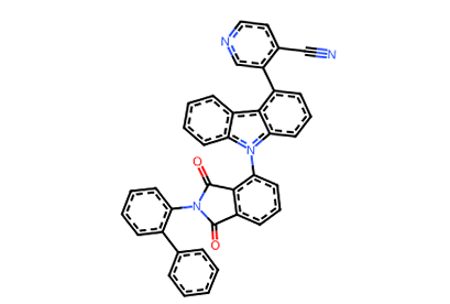 N#Cc1ccncc1-c1cccc2c1c1ccccc1n2-c1cccc2c1C(=O)N(c1ccccc1-c1ccccc1)C2=O